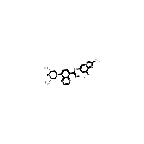 CN=C(Nc1cc(F)c2nc(C)cn2c1)c1ccc(N2C[C@@H](C)N[C@@H](C)C2)c2nccnc12